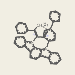 C/C=C\C(=C(/C)c1ccccc1)n1c2ccccc2c2ccc3c4ccccc4n(-c4ccc(-c5ccccc5)cc4)c3c21